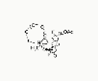 C=C(OOC)N1CCOCCOCCOCCOCCOC2C=C(c3c4cc(F)c(=O)cc-4oc4cc(OCOC(C)=O)c(F)cc34)C=CC21